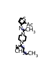 C=N/C(=C\C=C/C)N1CCN(/C(C)=N/c2ccsc2C(C)=O)CC1